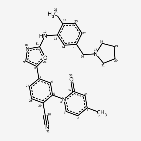 Cc1ccn(-c2cc(-c3cnc(Nc4cc(CN5CCCC5)ccc4C)o3)ccc2C#N)c(=O)c1